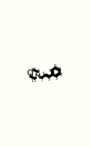 [c]1cccc(C=CCN2CCOCC2)c1